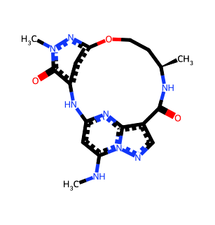 CNc1cc2nc3c(cnn13)C(=O)N[C@H](C)CCOc1cc(c(=O)n(C)n1)N2